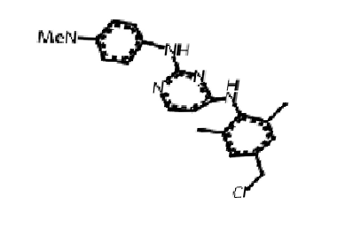 CNc1ccc(Nc2nccc(Nc3c(C)cc(CCl)cc3C)n2)cc1